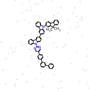 CC1(C)c2ccccc2-c2ccc(-n3c4ccccc4c4cc(-c5ccc6c(c5)c5ccccc5n6-c5ncc(-c6ccc(-c7cccc(-c8ccccc8)c7)cc6)cn5)ccc43)cc21